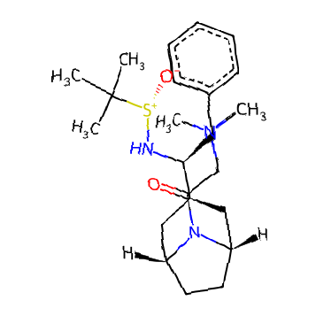 CN(C)CC(=O)N1[C@@H]2CC[C@H]1C[C@H]([C@H](Cc1ccccc1)N[S@@+]([O-])C(C)(C)C)C2